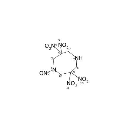 O=NN1CC([N+](=O)[O-])([N+](=O)[O-])CNCC([N+](=O)[O-])([N+](=O)[O-])C1